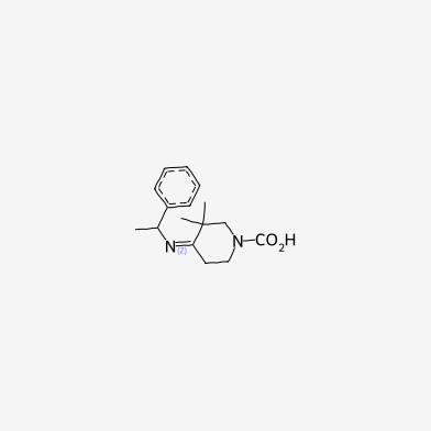 CC(/N=C1/CCN(C(=O)O)CC1(C)C)c1ccccc1